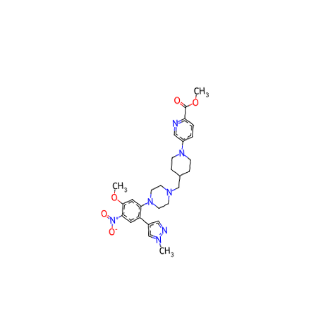 COC(=O)c1ccc(N2CCC(CN3CCN(c4cc(OC)c([N+](=O)[O-])cc4-c4cnn(C)c4)CC3)CC2)cn1